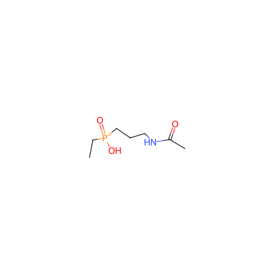 CCP(=O)(O)CCCNC(C)=O